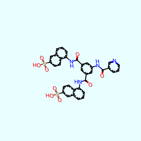 O=C(Nc1cc(C(=O)Nc2cccc3cc(S(=O)(=O)O)ccc23)cc(C(=O)Nc2cccc3cc(S(=O)(=O)O)ccc23)c1)c1cccnc1